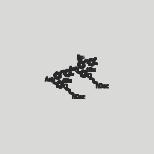 CCCCCCCCCCCCCCOc1ccc(CN(C(C)=O)c2ccc(C[n+]3ccc(C)c(C)c3)cc2)cc1C(C)(C)C.CCCCCCCCCCCCCCOc1ccc(CN(C(C)=O)c2ccc(C[n+]3ccc(C)c(C)c3)cc2)cc1C(C)(C)C.[Br-].[Br-]